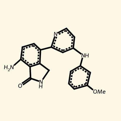 COc1cccc(Nc2ccnc(-c3ccc(N)c4c3CNC4=O)c2)c1